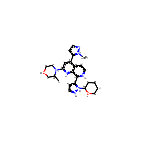 CCCn1nccc1-c1cc(N2CCOCC2C)nc2c(-c3ccnn3C3CCCCO3)nccc12